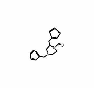 O=CN1CCN(Cc2ccccc2)CC1Cc1ccccc1